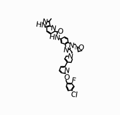 Cc1n[nH]c2ccc(C(=O)Nc3ccc4c(c3)nc(CN3CC=C(c5cccc(OCc6ccc(Cl)cc6F)n5)CC3)n4C[C@@H]3CCO3)nc12